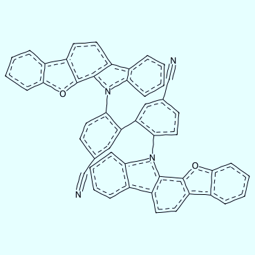 N#Cc1ccc(-n2c3ccccc3c3ccc4c5ccccc5oc4c32)c(-c2cc(C#N)ccc2-n2c3ccccc3c3ccc4c5ccccc5oc4c32)c1